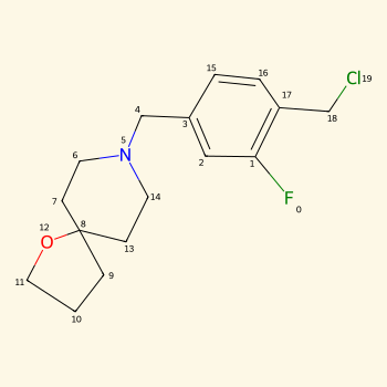 Fc1cc(CN2CCC3(CCCO3)CC2)ccc1CCl